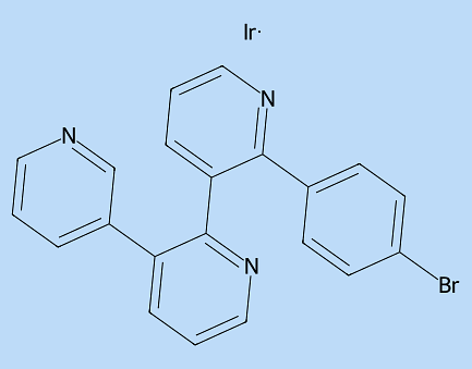 Brc1ccc(-c2ncccc2-c2ncccc2-c2cccnc2)cc1.[Ir]